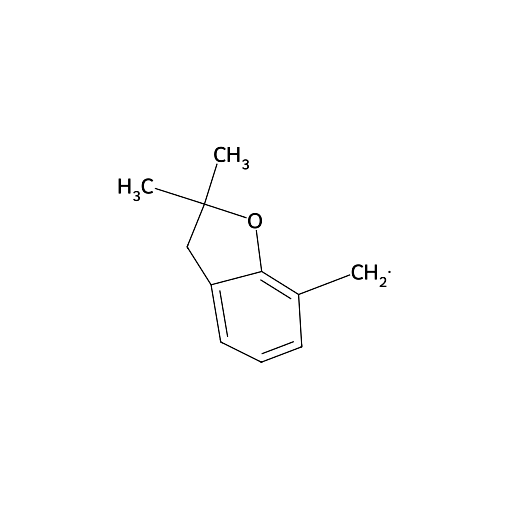 [CH2]c1cccc2c1OC(C)(C)C2